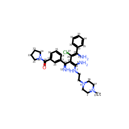 CCN1CCN(CCN/C(N)=C(C(=N)c2cccc(C(=O)N3CCCC3)c2)/C(Cl)=C(\N)c2ccccc2)CC1